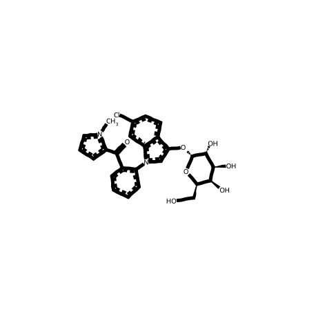 Cn1cccc1C(=O)c1ccccc1-n1cc(O[C@H]2O[C@H](CO)[C@H](O)[C@H](O)[C@H]2O)c2ccc(Cl)cc21